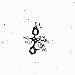 Cc1ccc(C2C(O)[C@@]3(O)C(c4ccccc4C)[C@@](O)([C@H](O)CO)[C@@]23O)cc1